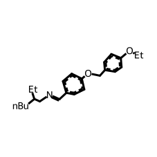 CCCCC(CC)C/N=C/c1ccc(OCc2ccc(OCC)cc2)cc1